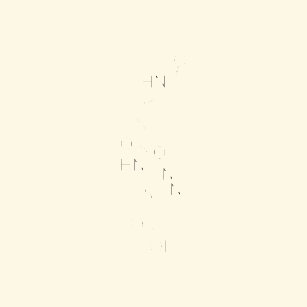 O=CNc1ccc(S(=O)(=O)Nc2nnc(CC(=O)O)s2)cc1